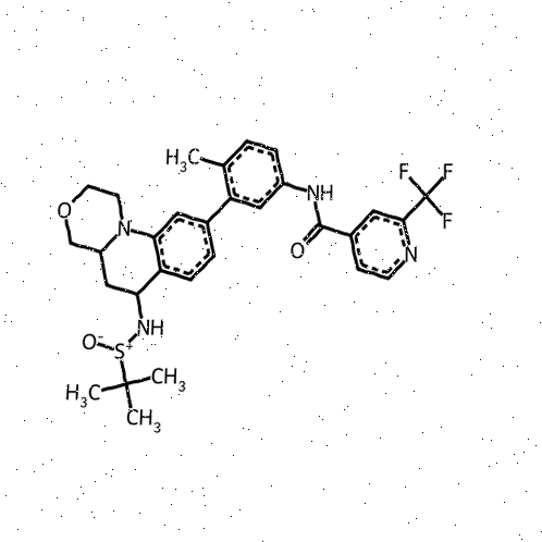 Cc1ccc(NC(=O)c2ccnc(C(F)(F)F)c2)cc1-c1ccc2c(c1)N1CCOCC1CC2N[S+]([O-])C(C)(C)C